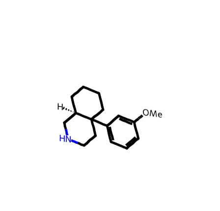 COc1cccc(C23CCCC[C@@H]2CNCC3)c1